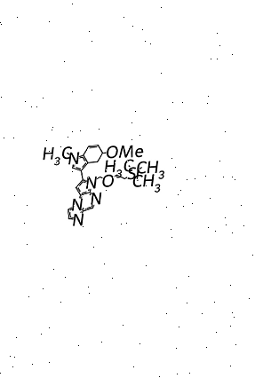 COC1C=Cc2c(c(-c3cc4c(ncc5nccn54)n3COCC[Si](C)(C)C)cn2C)C1